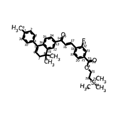 Cc1ccc(C2=CCC(C)(C)c3cc(C(=O)C=Cc4ccc(C(=O)OCC[Si](C)(C)C)cc4F)ccc32)cc1